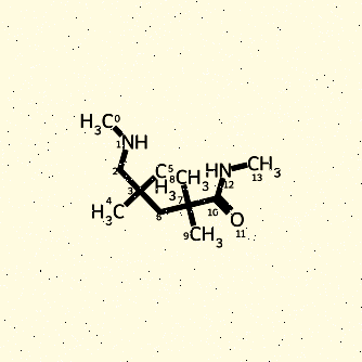 CNCC(C)(C)CC(C)(C)C(=O)NC